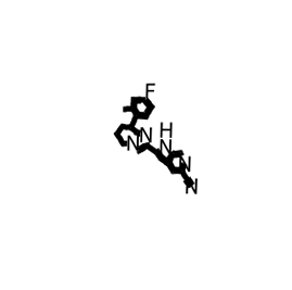 Cc1cc(F)ccc1C1CCCn2cc(-c3cc4cc(C#N)ncc4[nH]3)nc21